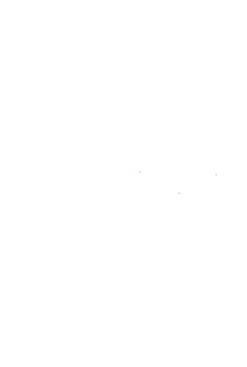 C1CCC(C2CCCCC23OCCCO3)CC1